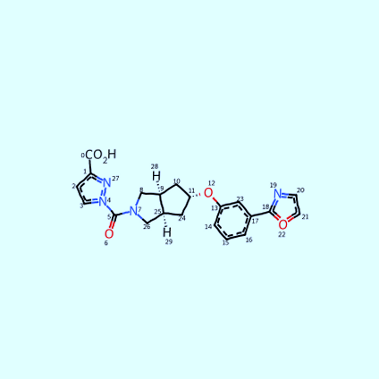 O=C(O)c1ccn(C(=O)N2C[C@H]3C[C@H](Oc4cccc(-c5ncco5)c4)C[C@H]3C2)n1